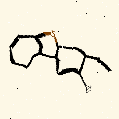 C=CC1CC2SC3C=CCCC3C2C=C1CC